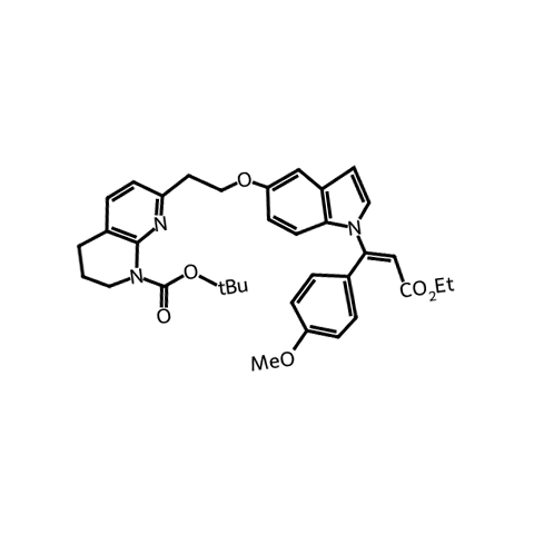 CCOC(=O)C=C(c1ccc(OC)cc1)n1ccc2cc(OCCc3ccc4c(n3)N(C(=O)OC(C)(C)C)CCC4)ccc21